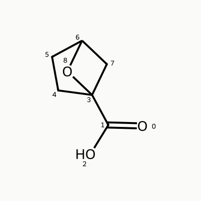 O=C(O)C12CCC(C1)O2